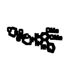 COc1cc2nc(N3CCCN(S(=O)(=O)N4CCOCC4)CC3)nc(N)c2c(-c2ccccc2)c1OC